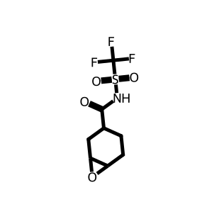 O=C(NS(=O)(=O)C(F)(F)F)C1CCC2OC2C1